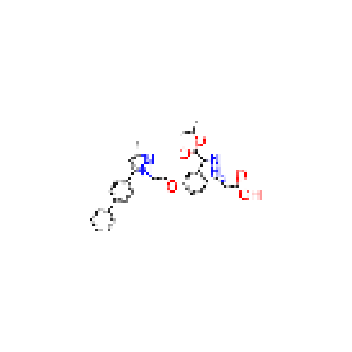 Cc1cc(-c2ccc(-c3ccccc3)cc2)n(CCOc2ccc(CCC(=O)O)c(C(N)C(=O)OC(C)C)c2)n1